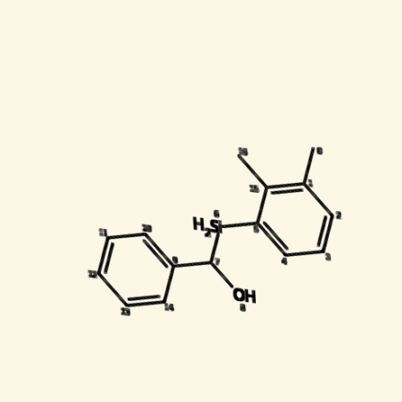 Cc1cccc([SiH2]C(O)c2ccccc2)c1C